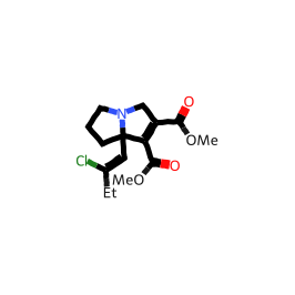 CC/C(Cl)=C/C12CCCN1CC(C(=O)OC)=C2C(=O)OC